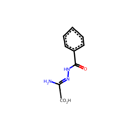 N/C(=N\NC(=O)c1ccccc1)C(=O)O